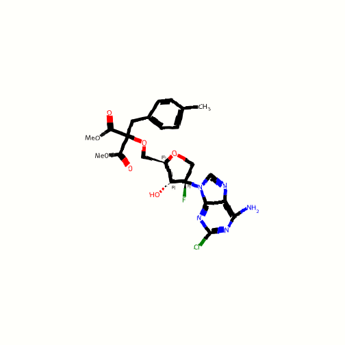 COC(=O)C(Cc1ccc(C)cc1)(OC[C@H]1OC[C@](F)(n2cnc3c(N)nc(Cl)nc32)[C@@H]1O)C(=O)OC